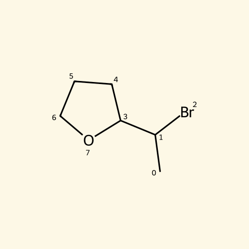 CC(Br)C1CCCO1